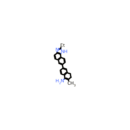 CCc1nc2ccc3cc(-c4ccc5c(c4)CCC(C)=C5N)ccc3c2[nH]1